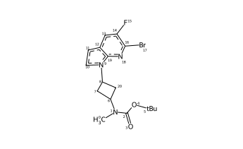 CN(C(=O)OC(C)(C)C)C1CC(n2ccc3cc(F)c(Br)nc32)C1